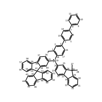 Cc1cc(-c2ccc(-c3ccccc3)cc2)ccc1N(c1ccc2c(c1)C(C)(C)c1ccccc1-2)c1ccc2c(c1)C1(c3ccccc3-c3ccccc31)c1ccccc1-2